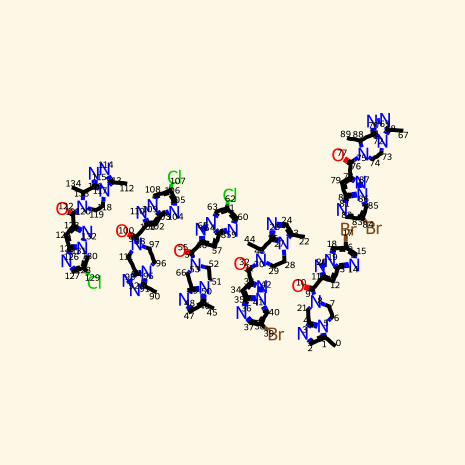 Cc1cnc2n1CCN(C(=O)c1cc3ncc(Br)cn3n1)C2.Cc1cnc2n1CCN(C(=O)c1cc3ncc(Br)cn3n1)C2C.Cc1cnc2n1CCN(C(=O)c1cc3ncc(Cl)cn3n1)C2.Cc1nnc2n1CCN(C(=O)c1cc3ncc(Br)cn3n1)C2C.Cc1nnc2n1CCN(C(=O)c1cc3ncc(Cl)cn3n1)C2.Cc1nnc2n1CCN(C(=O)c1cc3ncc(Cl)cn3n1)C2C